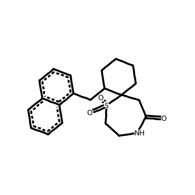 O=C1CC2(CCCCC2Cc2cccc3ccccc23)S(=O)(=O)CCN1